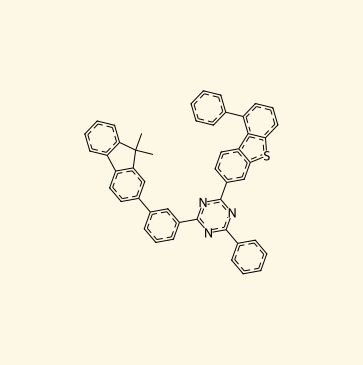 CC1(C)c2ccccc2-c2ccc(-c3cccc(-c4nc(-c5ccccc5)nc(-c5ccc6c(c5)sc5cccc(-c7ccccc7)c56)n4)c3)cc21